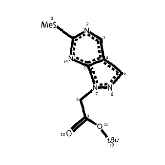 CSc1ncc2cnn(CC(=O)OC(C)(C)C)c2n1